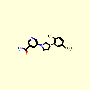 Cc1ccc(C(=O)O)cc1[C@H]1CCN(c2cncc(C(N)=O)c2)C1